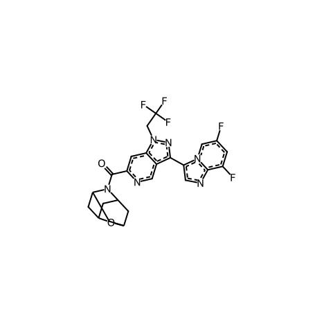 O=C(c1cc2c(cn1)c(-c1cnc3c(F)cc(F)cn13)nn2CC(F)(F)F)N1C2CC3CC1CC(C2)O3